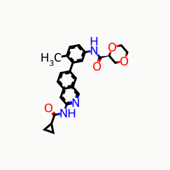 Cc1ccc(NC(=O)[C@@H]2COCCO2)cc1-c1ccc2cc(NC(=O)C3CC3)ncc2c1